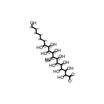 O=C([O-])C(O)C(O)C(O)C(O)C(O)C(O)C(O)C(O)C(O)C(O)C(O)CCCCCCO.[Na+]